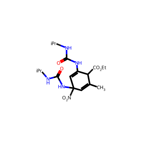 CCOC(=O)C1C(C)=CC(NC(=O)NC(C)C)([N+](=O)[O-])C=C1NC(=O)NC(C)C